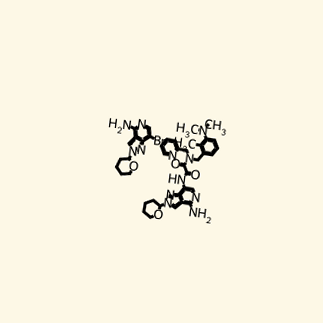 Cc1c(CN(Cc2ccccn2)C(=O)C(=O)Nc2cnc(N)c3cn(C4CCCCO4)nc23)cccc1N(C)C.Nc1ncc(Br)c2nn(C3CCCCO3)cc12